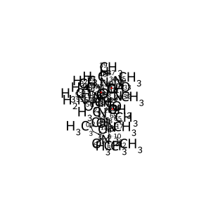 CC(C)CCC(=O)N(C)[C@@H](CC(C)C)C(=O)N(C)[C@H](C(=O)N(C)C(=O)N[C@H](C(=O)N(C)CC(=O)N(C)[C@@H](CC(C)C)C(=O)N[C@H](C(=O)N(C)[C@@H](CC(C)C)C(N)=O)C(C)C)C(C)C)C(C)C